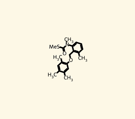 CSC(=O)N(C)c1cccc(C)c1COc1cc(C)c(C)cc1C